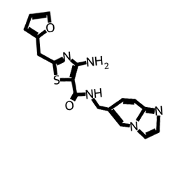 Nc1nc(Cc2ccco2)sc1C(=O)NCc1ccc2nccn2c1